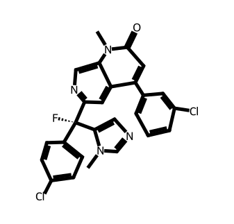 Cn1cncc1[C@@](F)(c1ccc(Cl)cc1)c1cc2c(-c3cccc(Cl)c3)cc(=O)n(C)c2cn1